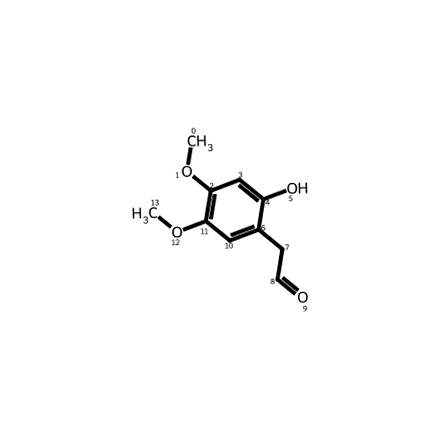 COc1cc(O)c(CC=O)cc1OC